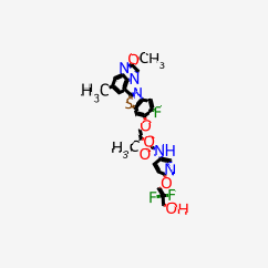 COc1cnc2c(-c3nc4cc(F)c(OC[C@@H](C)OC(=O)Nc5ccc(OCC(F)(F)CO)nc5)cc4s3)cc(C)cc2n1